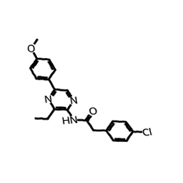 CCc1nc(-c2ccc(OC)cc2)cnc1NC(=O)Cc1ccc(Cl)cc1